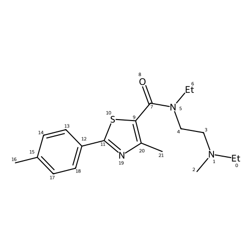 CCN(C)CCN(CC)C(=O)c1sc(-c2ccc(C)cc2)nc1C